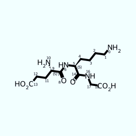 NCCCC[C@H](NC(=O)[C@@H](N)CCC(=O)O)C(=O)NCC(=O)O